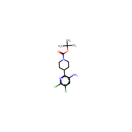 CC(C)(C)OC(=O)N1CCC(c2nc(Cl)c(Cl)cc2N)CC1